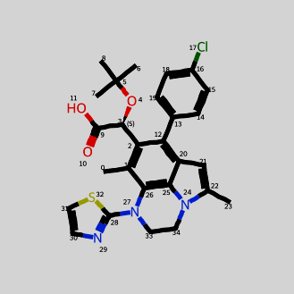 Cc1c([C@H](OC(C)(C)C)C(=O)O)c(-c2ccc(Cl)cc2)c2cc(C)n3c2c1N(c1nccs1)CC3